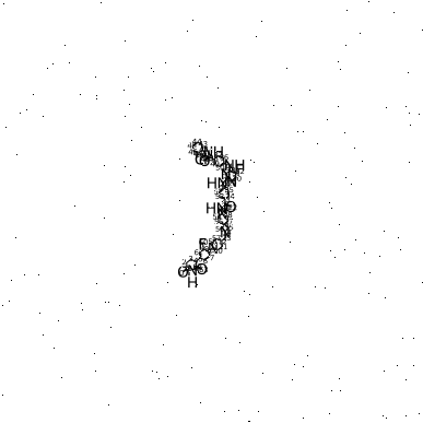 O=C1CCC(c2ccc(N3CCC(CN4CC5(CCN(NC(=O)c6ccc(Nc7ncc(F)c(Nc8ccc(C(=O)Nc9ccccc9Cl)cc8)n7)cc6)CC5)C4)CC3)c(F)c2)C(=O)N1